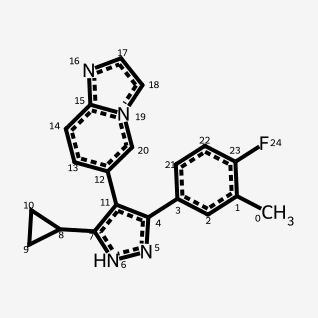 Cc1cc(-c2n[nH]c(C3CC3)c2-c2ccc3nccn3c2)ccc1F